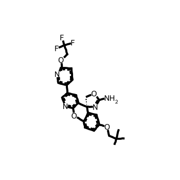 CC(C)(C)COc1ccc2c(c1)[C@@]1(COC(N)=N1)c1cc(-c3ccc(OCC(F)(F)F)nc3)cnc1O2